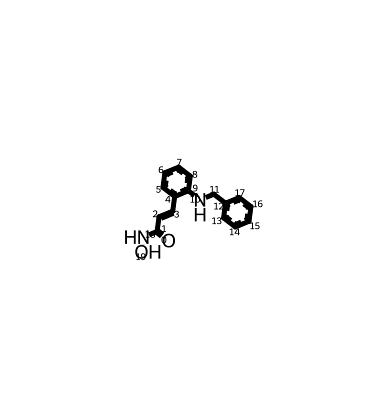 O=C(/C=C/c1ccccc1NCc1ccccc1)NO